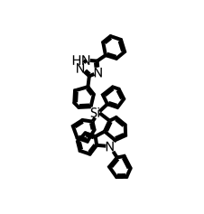 c1ccc(-c2nc(-c3cccc([Si](c4ccccc4)(c4ccccc4)c4cccc5c4c4ccccc4n5-c4ccccc4)c3)n[nH]2)cc1